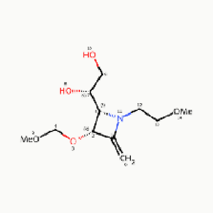 C=C1[C@H](OCOC)[C@H]([C@H](O)CO)N1CCOC